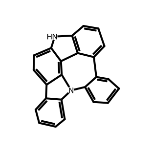 c1cc2[nH]c3ccc4c5ccccc5n5c6ccccc6c(c1)c2c3c45